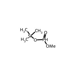 CO[PH](=O)O[Si](C)(C)C